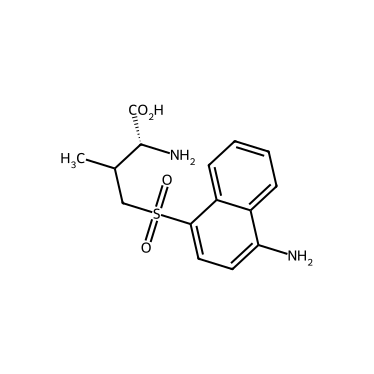 CC(CS(=O)(=O)c1ccc(N)c2ccccc12)[C@@H](N)C(=O)O